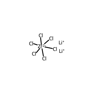 [Cl][Zr-2]([Cl])([Cl])([Cl])([Cl])[Cl].[Li+].[Li+]